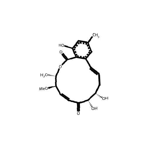 CO[C@@H]1/C=C\C(=O)[C@@H](O)[C@@H](O)C/C=C/c2cc(C)cc(O)c2C(=O)O[C@H]1C